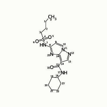 CCCCS(=O)(=O)Nc1ccn2ncc(C(=O)NC3CCCCC3)c2n1